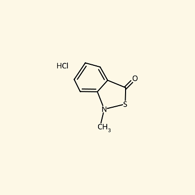 Cl.Cn1sc(=O)c2ccccc21